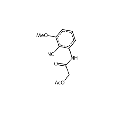 COc1cccc(NC(=O)COC(C)=O)c1C#N